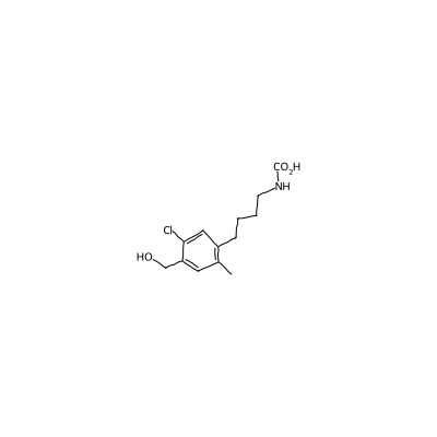 Cc1cc(CO)c(Cl)cc1CCCCNC(=O)O